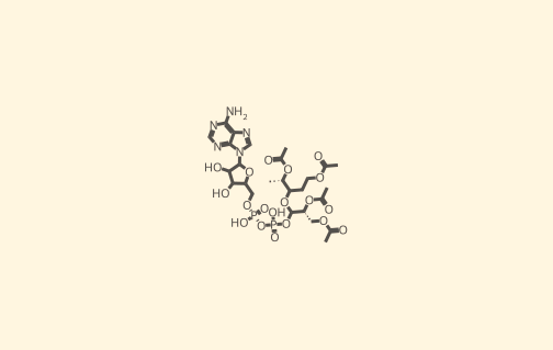 CC(=O)OCCC(OC(OP(=O)(O)OP(=O)(O)OCC1OC(n2cnc3c(N)ncnc32)C(O)C1O)[C@@H](COC(C)=O)OC(C)=O)[C@H](C)OC(C)=O